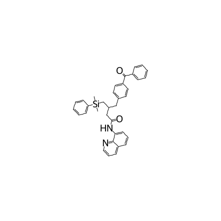 C[Si](C)(CC(CC(=O)Nc1cccc2cccnc12)Cc1ccc(C(=O)c2ccccc2)cc1)c1ccccc1